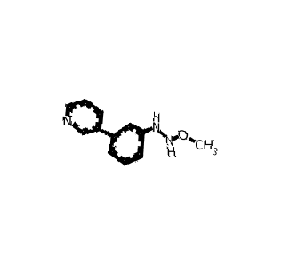 CONNc1cccc(-c2cccnc2)c1